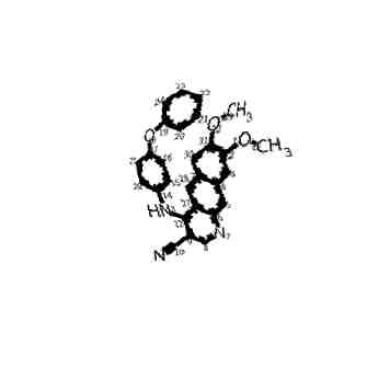 COc1cc2cc3ncc(C#N)c(Nc4ccc(Oc5ccccc5)cc4)c3cc2cc1OC